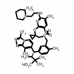 Cc1ccc([C@H](c2ccn3c(C(F)(F)F)nnc3c2C)C(C)C(C)(C)C(=O)O)cc1CN1CC2(CC2)Oc2nc(N[C@@H](C)CN3CCCCC3)c(C)cc2S1(=O)=O